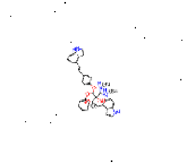 CCC(O)C(O)(C(NC(C)(C)C)NC(C)(C)C)C(Oc1ccc(C=Cc2cccc3[nH]ccc23)cc1)Oc1ccccc1CCc1cccc2[nH]ccc12